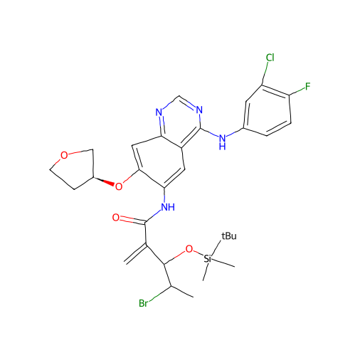 C=C(C(=O)Nc1cc2c(Nc3ccc(F)c(Cl)c3)ncnc2cc1O[C@H]1CCOC1)C(O[Si](C)(C)C(C)(C)C)C(C)Br